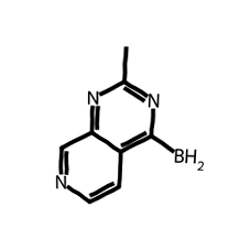 Bc1nc(C)nc2cnccc12